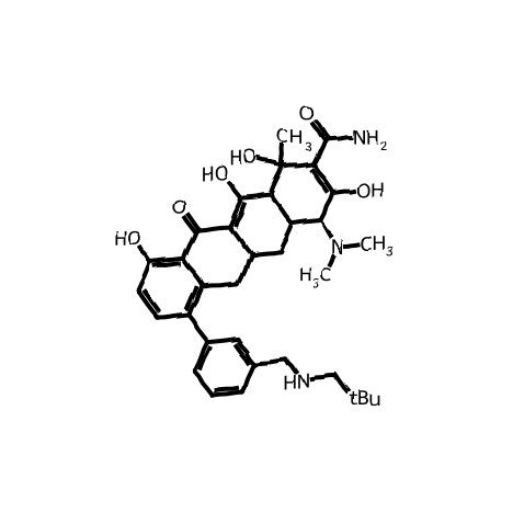 CN(C)[C@@H]1C(O)=C(C(N)=O)C(C)(O)C2C(O)=C3C(=O)c4c(O)ccc(-c5cccc(CNCC(C)(C)C)c5)c4CC3CC21